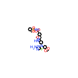 COc1cc(C(=O)ONS(=O)(=O)c2ccccc2C)ccc1Cc1n[nH]c2cc(N(c3ccc4c(c3)OCCO4)c3nc(N)ncc3F)ccc12